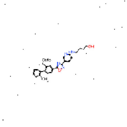 COCc1cc(-c2nc(-c3ccc(NCCCCO)nc3)no2)ccc1-c1ccccc1C